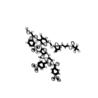 C=C1C[C@H](CCCOC(=O)C(C)(C)C)O[C@H]1CC[C@H]1C=C(C)C(COC(=O)COC)[C@@H](C[C@@H]2O[C@H](C[C@@H](COC(=O)c3ccc([N+](=O)[O-])cc3)OC(=O)c3ccc([N+](=O)[O-])cc3)[C@H](OC)[C@H]2CS(=O)(=O)c2ccccc2)O1